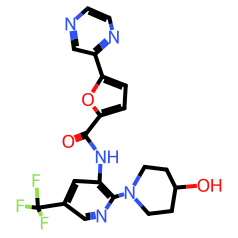 O=C(Nc1cc(C(F)(F)F)cnc1N1CCC(O)CC1)c1ccc(-c2cnccn2)o1